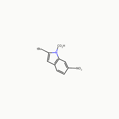 CC(C)(C)c1cc2ccc([N+](=O)[O-])cc2n1C(=O)O